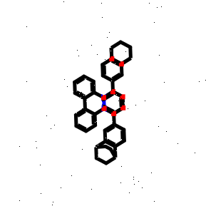 c1cc(-c2ccc3c(c2)C2CCC3CC2)nc(-c2ccccc2-c2ccccc2-c2cccc(-c3ccc4c(c3)C3CCC4CC3)n2)c1